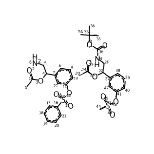 CC(=O)OC(CN)c1cccc(OS(=O)(=O)c2ccccc2)c1.CC(=O)OC(CNC(=O)OC(C)(C)C)c1cccc(OS(C)(=O)=O)c1